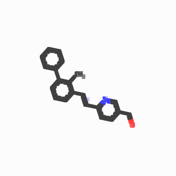 Cc1c(/C=C/c2ccc(C=O)cn2)cccc1-c1ccccc1